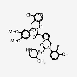 COc1ccc([C@H](Cc2c(Cl)cncc2Cl)OC(=O)c2ccc(CN(C(=O)O[C@H]3CNCCC3C)c3cccc(O)c3F)s2)cc1OC